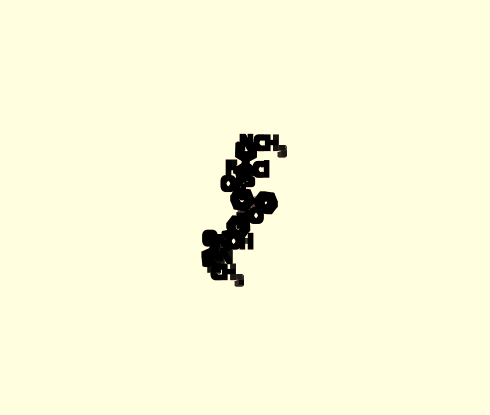 Cc1cc(-c2c(Cl)sc(C(=O)N3CC[C@@H](C(=O)N4CCC(O)(Cn5cnc6c(ccn6C)c5=O)CC4)[C@H](c4ccccc4)C3)c2F)ccn1